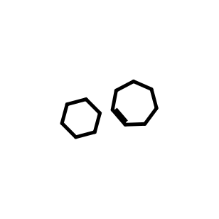 C1=CCCCCC1.C1CCCCC1